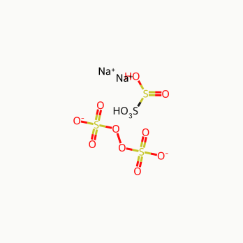 O=S(=O)([O-])OOS(=O)(=O)[O-].O=S(O)S(=O)(=O)O.[Na+].[Na+]